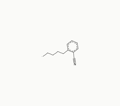 [CH2]CCCCc1ccccc1C#N